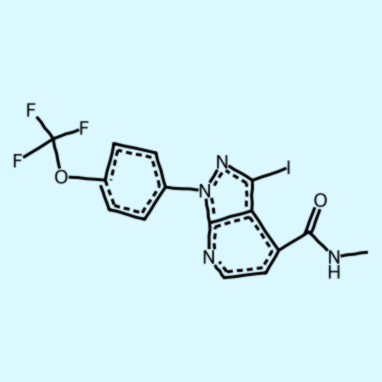 CNC(=O)c1ccnc2c1c(I)nn2-c1ccc(OC(F)(F)F)cc1